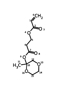 C=CC(=O)OCCC(=O)OC1(C)COCCO1